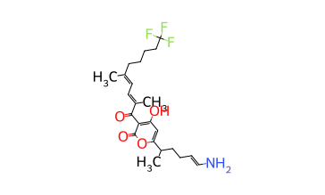 C/C(=C\C=C(/C)C(=O)c1c(O)cc(C(C)CC/C=C/N)oc1=O)CCCCC(F)(F)F